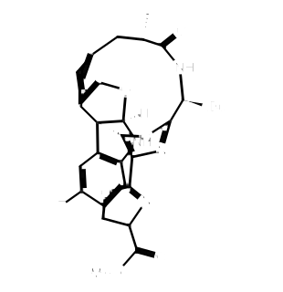 COC(=O)C1COC(c2nc3oc2[C@@]24c5cc(F)ccc5N[C@@H]2Oc2ccc(cc24)C[C@H](C)C(=O)N[C@H]3C(C)(C)C)=N1